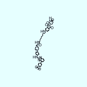 CS(=O)(=O)c1ccc(-c2cccc3nc(Nc4ccc(N5CCN(CC(=O)NCCCCCCCNc6ccc7c(c6)C(=O)N(C6CCC(=O)NC6=O)C7=O)CC5)cc4)nn23)cc1